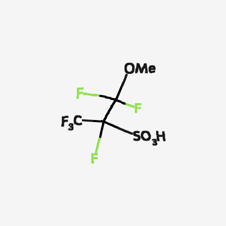 COC(F)(F)C(F)(C(F)(F)F)S(=O)(=O)O